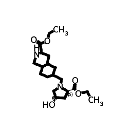 CCOC(=O)C1CC2CC(CN3C[C@H](O)C[C@H]3C(=O)OCC)CCC2CN1